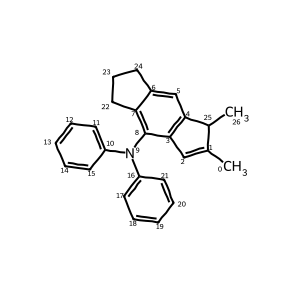 CC1=Cc2c(cc3c(c2N(c2ccccc2)c2ccccc2)CCC3)C1C